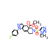 COC(=O)[C@]12Cc3cnn(-c4ccc(F)cc4)c3C=C1CCN(S(=O)(=O)c1cnnn1C)C2